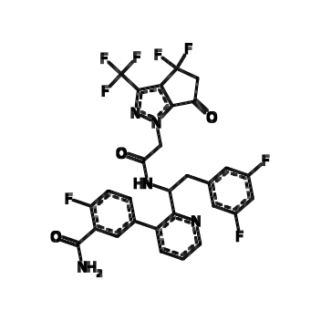 NC(=O)c1cc(-c2cccnc2C(Cc2cc(F)cc(F)c2)NC(=O)Cn2nc(C(F)(F)F)c3c2C(=O)CC3(F)F)ccc1F